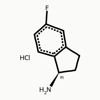 Cl.N[C@@H]1CCc2cc(F)ccc21